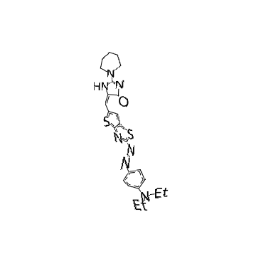 CCN(CC)c1ccc(/N=N/c2nc3sc(/C=C4/NC(N5CCCCC5)=NC4=O)cc3s2)cc1